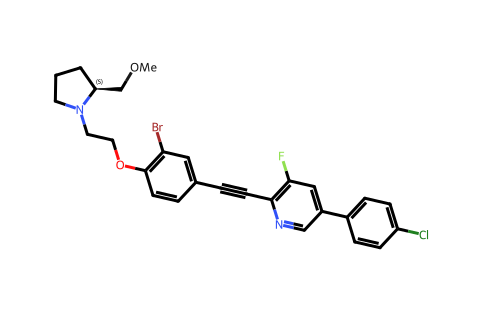 COC[C@@H]1CCCN1CCOc1ccc(C#Cc2ncc(-c3ccc(Cl)cc3)cc2F)cc1Br